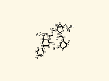 CCN(CC)C[C@@]12C[C@@H](C(=O)Nc3nc(Br)ccc3C)N(C(=O)Cn3nc(C(C)=O)c4cc(-c5cnc(C)nc5)cc(C)c43)[C@@H]1C2